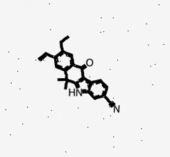 C=Cc1cc2c(cc1CC)C(=O)c1c([nH]c3cc(C#N)ccc13)C2(C)C